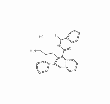 CCC(NC(=O)c1c(OCCN)c(-c2ccccc2)nc2ccccc12)c1ccccc1.Cl